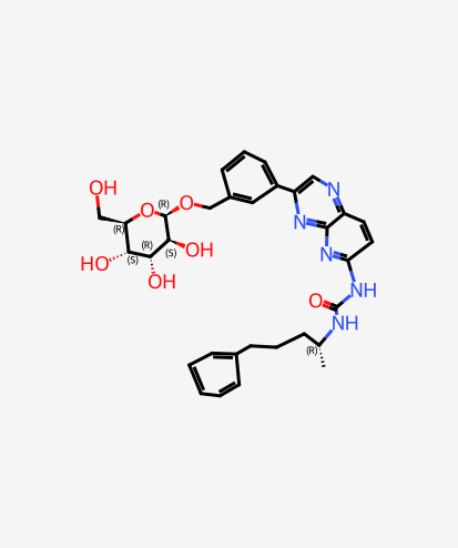 C[C@H](CCCc1ccccc1)NC(=O)Nc1ccc2ncc(-c3cccc(CO[C@@H]4O[C@H](CO)[C@@H](O)[C@@H](O)[C@@H]4O)c3)nc2n1